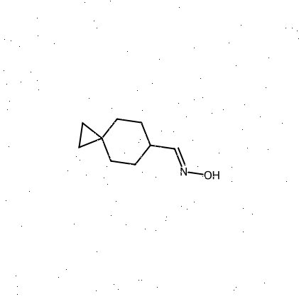 ON=CC1CCC2(CC1)CC2